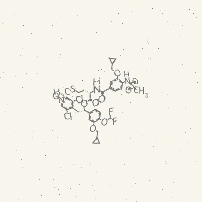 CSCC[C@H](NC(=O)c1ccc(NS(C)(=O)=O)c(OCC2CC2)c1)C(=O)O[C@@H](Cc1c(Cl)c[n+]([O-])cc1Cl)c1ccc(OC(F)F)c(OCC2CC2)c1